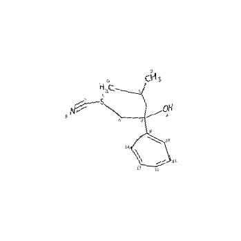 CC(C)C(O)(CSC#N)c1ccccc1